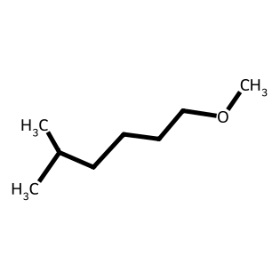 COCCCC[C](C)C